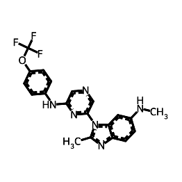 CNc1ccc2nc(C)n(-c3cncc(Nc4ccc(OC(F)(F)F)cc4)n3)c2c1